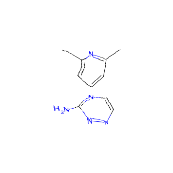 Cc1cccc(C)n1.Nc1nccnn1